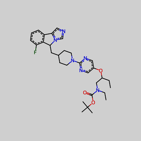 CCC(CN(CC)C(=O)OC(C)(C)C)Oc1cnc(N2CCC(CC3c4c(F)cccc4-c4cncn43)CC2)nc1